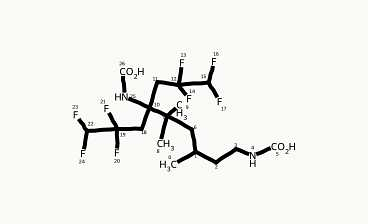 CC(CCNC(=O)O)CC(C)(C)C(CC(F)(F)C(F)F)(CC(F)(F)C(F)F)NC(=O)O